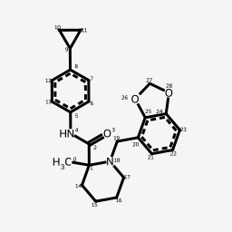 CC1(C(=O)Nc2ccc(C3CC3)cc2)CCCCN1Cc1cccc2c1OCO2